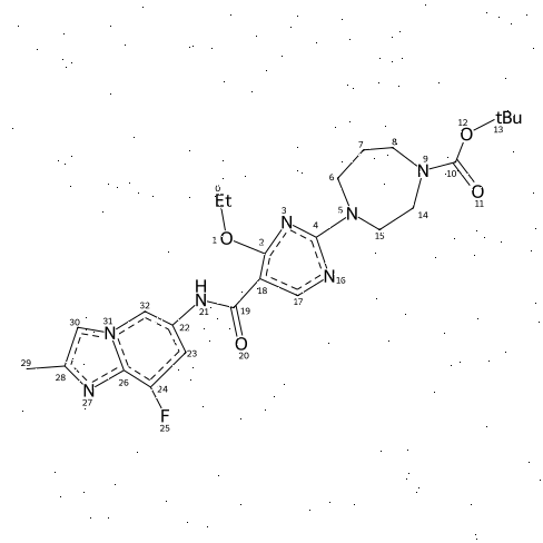 CCOc1nc(N2CCCN(C(=O)OC(C)(C)C)CC2)ncc1C(=O)Nc1cc(F)c2nc(C)cn2c1